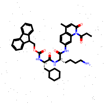 CCC(=O)n1c(=O)cc(C)c2ccc(NC(=O)[C@H](CCCCN)NC(=O)[C@H](CC3CCCCC3)NC(=O)OCC3c4ccccc4-c4ccccc43)cc21